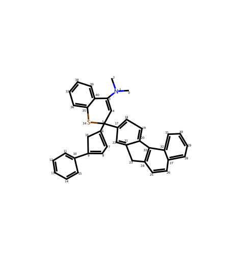 CN(C)C1=CC(C2=CC=C(c3ccccc3)C2)(c2ccc3c(c2)Cc2ccc4ccccc4c2-3)Sc2ccccc21